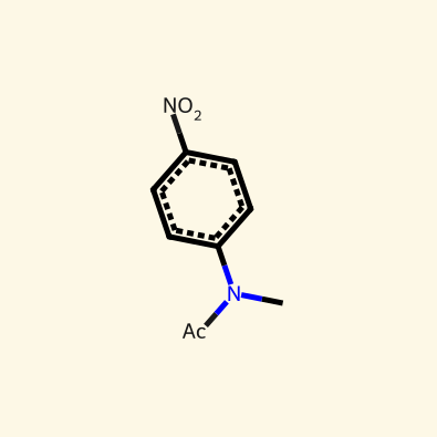 CC(=O)N(C)c1ccc([N+](=O)[O-])cc1